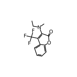 CCN(C)c1c(C(F)(F)F)c2ccccc2oc1=O